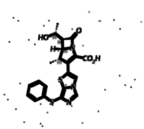 C[C@@H](O)[C@H]1C(=O)N2C(C(=O)O)=C(c3cn4cnc(Sc5ccccc5)c4s3)[C@H](C)[C@H]12